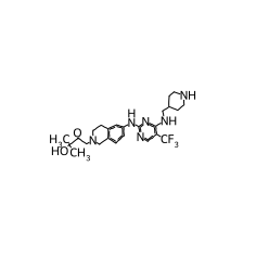 CC(C)(O)C(=O)CN1CCc2cc(Nc3ncc(C(F)(F)F)c(NCC4CCNCC4)n3)ccc2C1